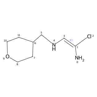 N/C(Cl)=C\NCC1CCOCC1